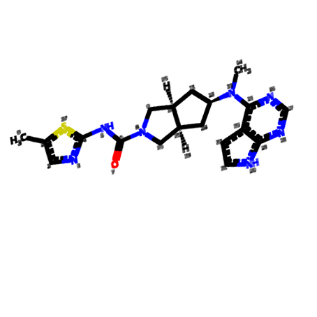 Cc1cnc(NC(=O)N2C[C@H]3C[C@@H](N(C)c4ncnc5[nH]ccc45)C[C@H]3C2)s1